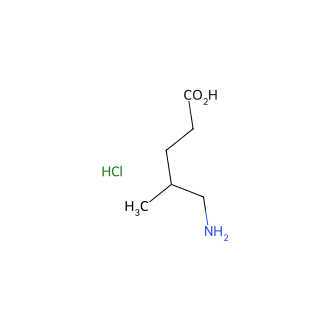 CC(CN)CCC(=O)O.Cl